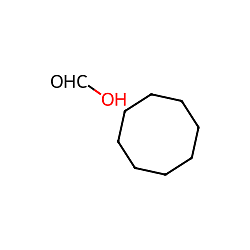 C1CCCCCCC1.O=CO